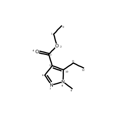 CCOC(=O)c1cnn(C)c1CC